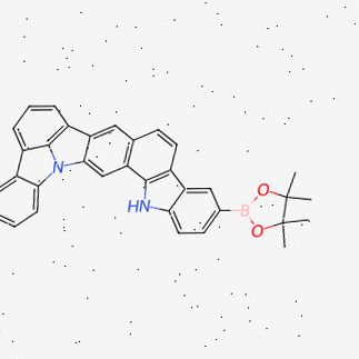 CC1(C)OB(c2ccc3[nH]c4c5cc6c(cc5ccc4c3c2)c2cccc3c4ccccc4n6c32)OC1(C)C